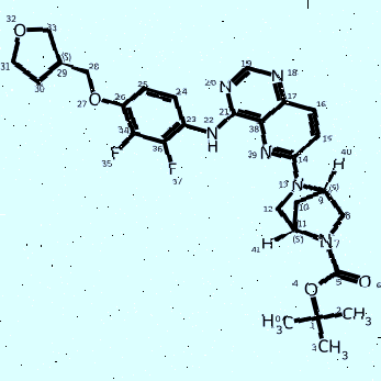 CC(C)(C)OC(=O)N1C[C@@H]2C[C@H]1CN2c1ccc2ncnc(Nc3ccc(OC[C@H]4CCOC4)c(F)c3F)c2n1